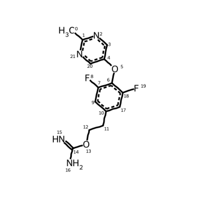 Cc1ncc(Oc2c(F)cc(CCOC(=N)N)cc2F)cn1